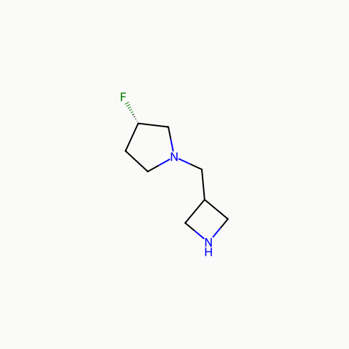 F[C@H]1CCN(CC2CNC2)C1